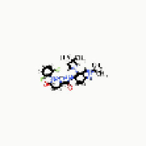 CC(C)n1cc2c(N3CCC(C)(C)C3)c(NC(=O)c3ccc(=O)n(-c4c(F)cccc4F)n3)ccc2n1